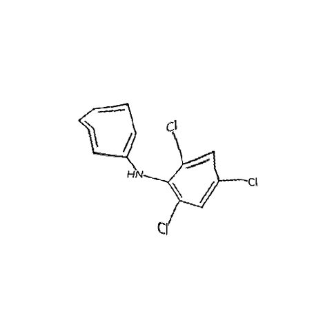 Clc1cc(Cl)c(Nc2ccccc2)c(Cl)c1